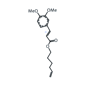 C=CCCCCOC(=O)/C=C/c1ccc(OC)c(OC)c1